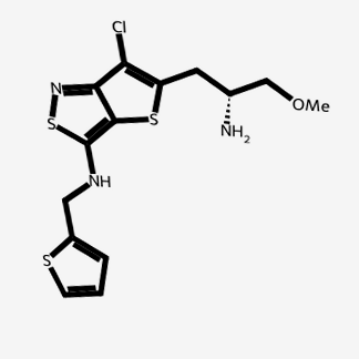 COC[C@H](N)Cc1sc2c(NCc3cccs3)snc2c1Cl